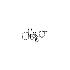 Cc1ccc(S(=O)(=O)O[N+]2(C)CCCCCC2=O)cc1